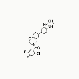 Cc1nc2cc(-c3ccc4c(c3)CN(C(=O)c3cc(F)c(F)cc3Cl)CCO4)ccc2[nH]1